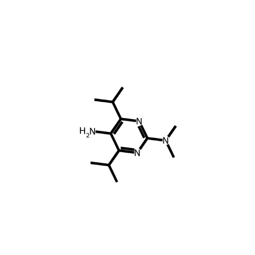 CC(C)c1nc(N(C)C)nc(C(C)C)c1N